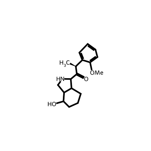 COc1ccccc1[C@H](C)C(=O)C1NCC2C(O)CCCC12